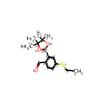 CCSc1ccc(C=O)c(B2OC(C)(C)C(C)(C)O2)c1